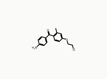 Cc1cc(OCCCl)ccc1C(=O)c1ccc(N)cc1